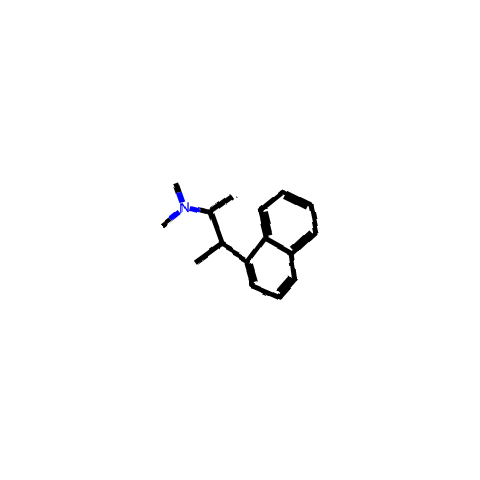 [CH2]C(C(C)c1cccc2ccccc12)N(C)C